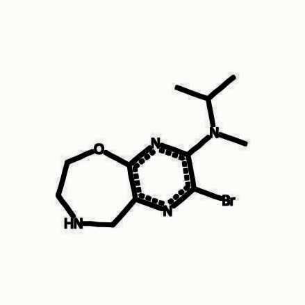 CC(C)N(C)c1nc2c(nc1Br)CNCCO2